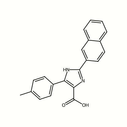 Cc1ccc(-c2[nH]c(-c3ccc4ccccc4c3)nc2C(=O)O)cc1